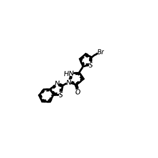 O=c1cc(-c2ccc(Br)s2)[nH]n1-c1nc2ccccc2s1